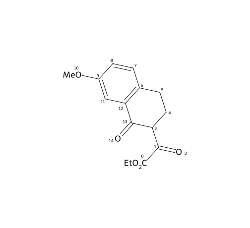 CCOC(=O)C(=O)C1CCc2ccc(OC)cc2C1=O